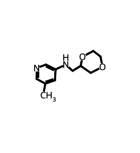 Cc1cncc(NCC2COCCO2)c1